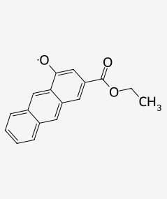 CCOC(=O)c1cc([O])c2cc3ccccc3cc2c1